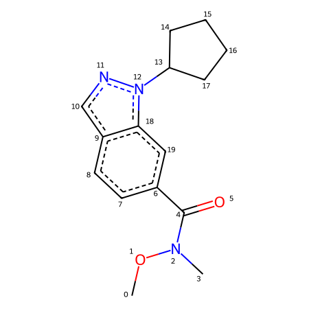 CON(C)C(=O)c1ccc2cnn(C3CCCC3)c2c1